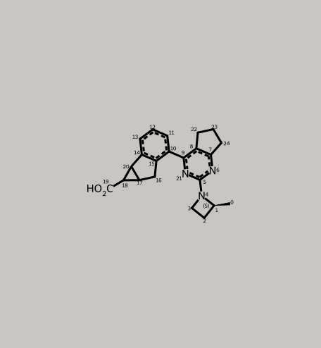 C[C@H]1CCN1c1nc2c(c(-c3cccc4c3CC3C(C(=O)O)C43)n1)CCC2